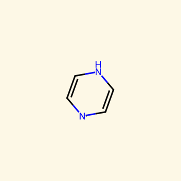 C1=CNC=C[N]1